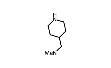 [CH2]NCC1CCNCC1